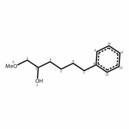 COCC(O)CCCCc1ccccc1